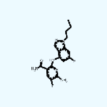 CCCCn1ncc2c(Nc3nc(N)c(F)cc3C(N)=O)cc(F)cc21